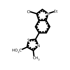 CCn1cc(Cl)c2cc(-c3nc(C)c(C(=O)O)s3)ccc21